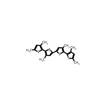 Cc1cc(C)c(-c2sc(-c3cc(C)c(-c4sc(C)cc4C)s3)cc2C)s1